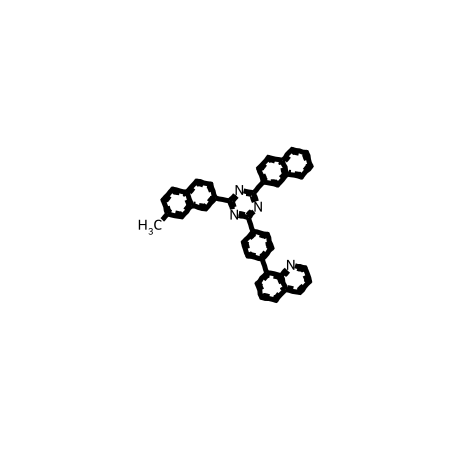 Cc1ccc2ccc(-c3nc(-c4ccc(-c5cccc6cccnc56)cc4)nc(-c4ccc5ccccc5c4)n3)cc2c1